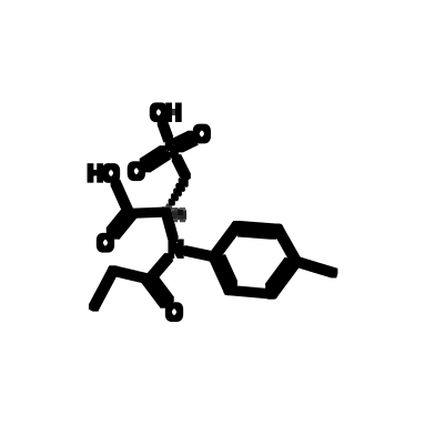 CCC(=O)N(c1ccc(C)cc1)[C@@H](CS(=O)(=O)O)C(=O)O